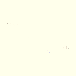 COCOc1ccc(C#N)nc1